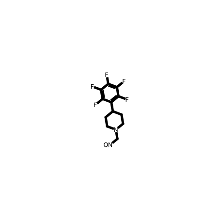 O=NCN1CCC(c2c(F)c(F)c(F)c(F)c2F)CC1